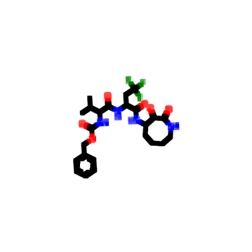 CC(C)C(NC(=O)OCc1ccccc1)C(=O)NC(CC(F)(F)F)C(=O)NC1CCCCNC(=O)C1=O